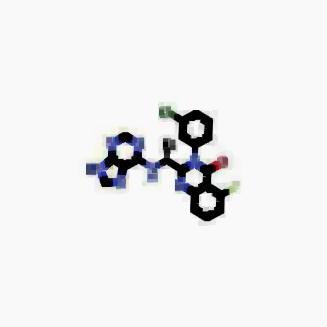 CC[C@H](Nc1ncnc2[nH]cnc12)c1nc2cccc(F)c2c(=O)n1-c1cccc(Cl)c1